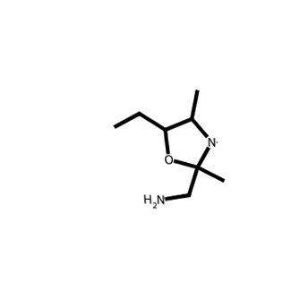 CCC1OC(C)(CN)[N]C1C